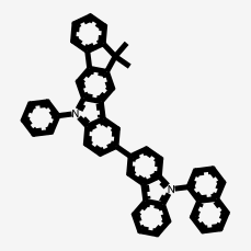 CC1(C)c2ccccc2-c2cc3c(cc21)c1cc(-c2ccc4c(c2)c2ccccc2n4-c2cccc4ccccc24)ccc1n3-c1ccccc1